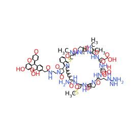 CC[C@H](C)[C@@H]1NC(=O)[C@@H]2CCCN2C(=O)[C@@H](NC(C)=O)CSc2c3ccccc3c(C3CC(=O)N(CCNC(=O)Cc4ccc(-c5c6ccc(=O)cc-6oc6cc(O)ccc56)c(C(=O)O)c4)C3=O)n2CCCC[C@@H](C(N)=O)NC(=O)[C@H](CCSC)NC(=O)[C@@H]2CCCN2C(=O)[C@H](CCCNC(=N)N)NC(=O)[C@H](CC(=O)O)NC(=O)[C@H](CCC(=O)O)NC1=O